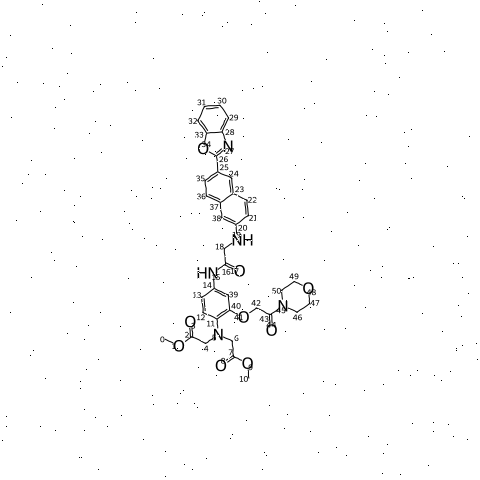 COC(=O)CN(CC(=O)OC)c1ccc(NC(=O)CNc2ccc3cc(-c4nc5ccccc5o4)ccc3c2)cc1OCC(=O)N1CCOCC1